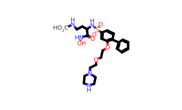 O=C(O)NCCC(NS(=O)(=O)c1ccc(-c2ccccc2)c(OCCOCCN2CCNCC2)c1)C(=O)NO